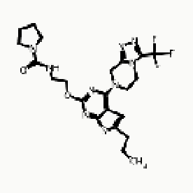 CCCc1cc2c(N3CCn4c(nnc4C(F)(F)F)C3)nc(OCCNC(=O)N3CCCC3)nc2s1